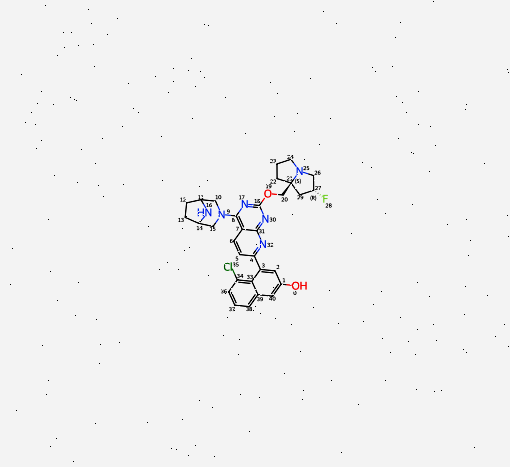 Oc1cc(-c2ccc3c(N4CC5CCC(C4)N5)nc(OC[C@@]45CCCN4C[C@H](F)C5)nc3n2)c2c(Cl)cccc2c1